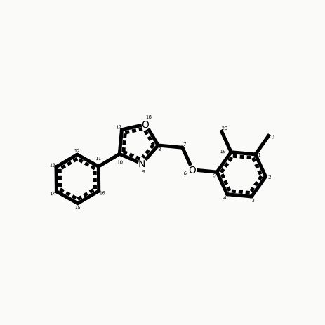 Cc1cccc(OCc2nc(-c3ccccc3)co2)c1C